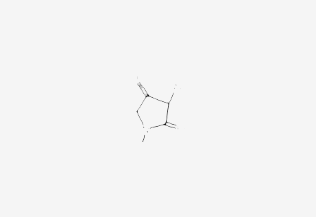 CC(=O)C1C(=O)CN(C)C1=O